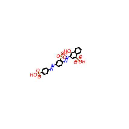 O=S(=O)(O)c1ccc(/N=N/c2ccc(/N=N/c3cc(S(=O)(=O)O)c4ccccc4c3O)c(S(=O)(=O)O)c2)cc1